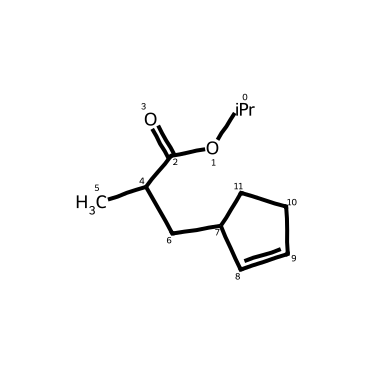 CC(C)OC(=O)C(C)CC1C=CCC1